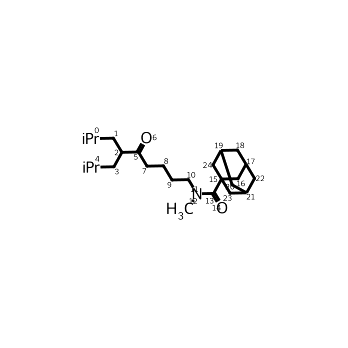 CC(C)CC(CC(C)C)C(=O)CCCCN(C)C(=O)C12CC3CC(CC(C3)C1)C2